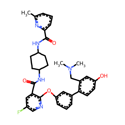 Cc1cccc(C(=O)NC2CCC(NC(=O)c3cc(F)cnc3Oc3cccc(-c4ccc(O)cc4CN(C)C)c3)CC2)n1